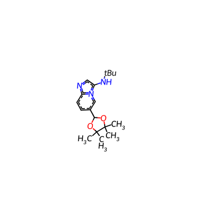 CC(C)(C)Nc1cnc2ccc(C3OC(C)(C)C(C)(C)O3)cn12